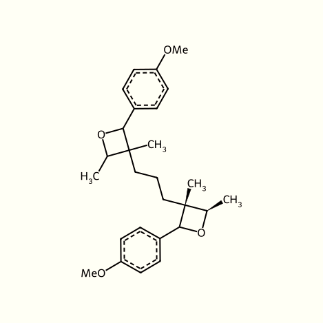 COc1ccc(C2OC(C)C2(C)CCC[C@@]2(C)C(c3ccc(OC)cc3)O[C@@H]2C)cc1